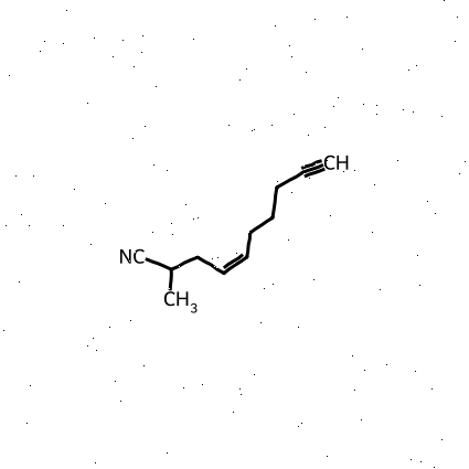 C#CCCC/C=C\CC(C)C#N